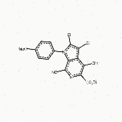 CCOC(=O)c1nc(C#N)c2c(c1O)c(Cl)c(Cl)n2-c1ccc(OC)cc1